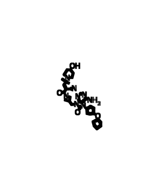 CC(C)(C=C(C#N)C(=O)N1CC(Cn2c(=O)n(-c3ccc(Oc4ccccc4)cc3)c3c(N)ncnc32)C1)N1CCC(O)CC1